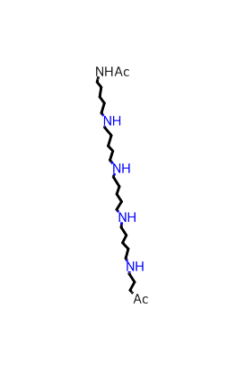 CC(=O)CCCNCCCCCNCCCCCNCCCCCNCCCCCNC(C)=O